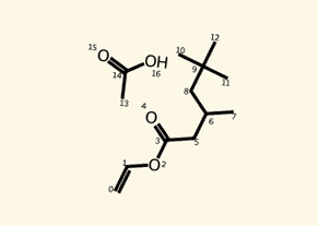 C=COC(=O)CC(C)CC(C)(C)C.CC(=O)O